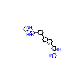 c1cc(-c2ccc3cc(-c4c[nH]c([C@@H]5CCCN5)n4)ccc3c2)cc(-c2c[nH]c([C@@H]3CCCN3)n2)c1